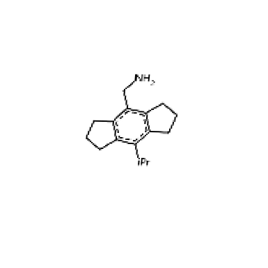 CC(C)c1c2c(c(CN)c3c1CCC3)CCC2